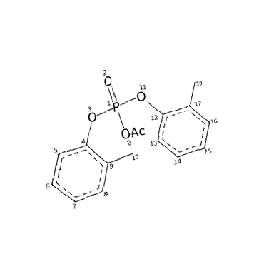 CC(=O)OP(=O)(Oc1ccccc1C)Oc1ccccc1C